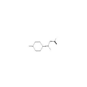 CCCCCCCCC(=O)CC(C)C1CCC(C(C)(C)C)CC1